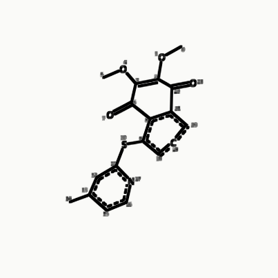 COC1=C(OC)C(=O)c2c(Sc3cc(C)ccn3)cccc2C1=O